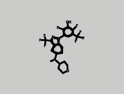 CN(c1ccc2c(c1)c(C(F)(F)F)nn2-c1cc(C(F)(F)F)c(F)c(O)c1F)C1CCOCC1